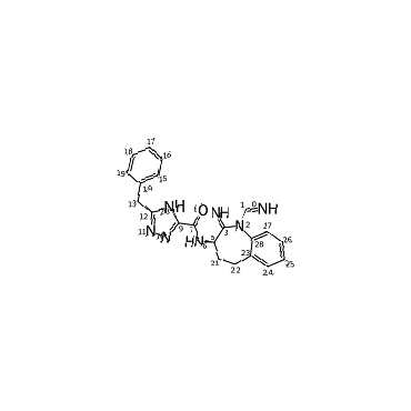 N=CN1C(=N)[C@H](NC(=O)c2nnc(Cc3ccccc3)[nH]2)CCc2ccccc21